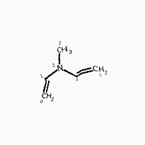 C=CN(C)C=C